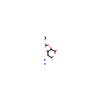 CCOC1O[C@@H]2[C@@H](N=[N+]=[N-])[C@H](C)OC(O)[C@@H]2O1